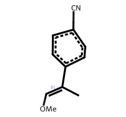 CO/C=C(\C)c1ccc(C#N)cc1